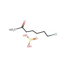 O=C(O)C(=O)CCCCCCl.O=S(O)O